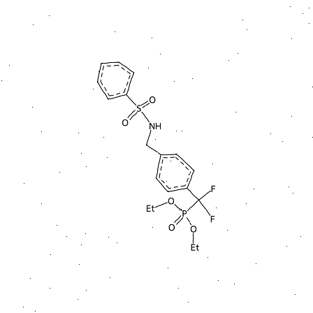 CCOP(=O)(OCC)C(F)(F)c1ccc(CNS(=O)(=O)c2ccccc2)cc1